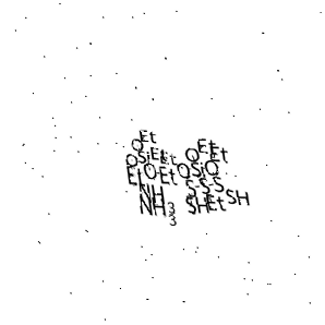 CCO[Si](CC)(OCC)OCC.CCO[Si](OCC)(OCC)S(CC)(SS)SS.N.N